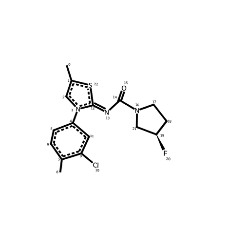 Cc1cn(-c2ccc(C)c(Cl)c2)/c(=N/C(=O)N2CC[C@@H](F)C2)s1